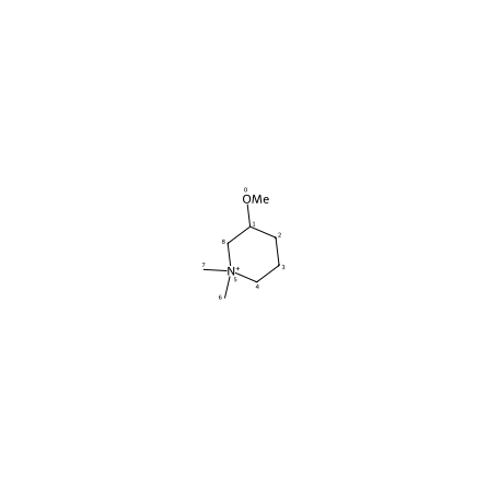 COC1CCC[N+](C)(C)C1